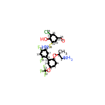 CC(CN)Oc1ccc(OC(F)(F)F)cc1-c1cc(NSc2cc(C=O)cc(Cl)c2O)c(F)cc1F